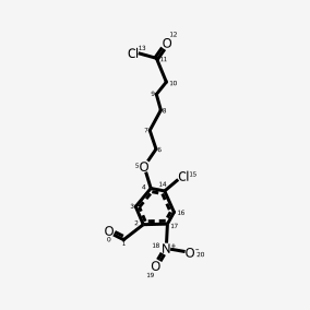 O=Cc1cc(OCCCCCC(=O)Cl)c(Cl)cc1[N+](=O)[O-]